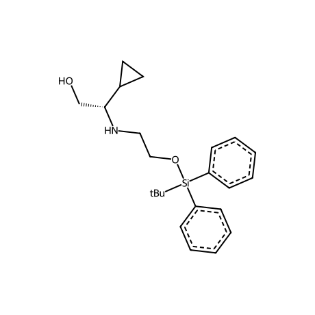 CC(C)(C)[Si](OCCN[C@H](CO)C1CC1)(c1ccccc1)c1ccccc1